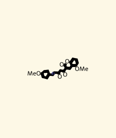 COc1ccc(/C=C/C(=O)CC(=O)c2cc3c(OC)cccc3oc2=O)cc1